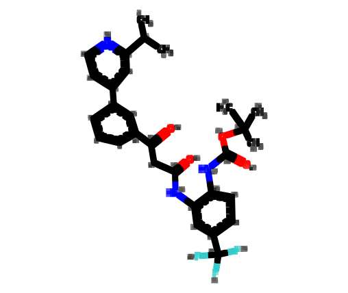 CC(C)c1cc(-c2cccc(C(=O)CC(=O)Nc3cc(C(F)(F)F)ccc3NC(=O)OC(C)(C)C)c2)ccn1